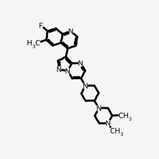 Cc1cc2c(-c3cnn4cc(N5CCC(N6CCN(C)C(C)C6)CC5)cnc34)ccnc2cc1F